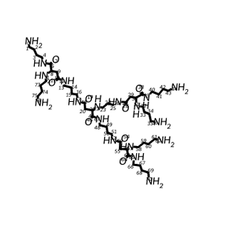 NCCCCNC(=O)C(CC(=O)NCCCCNC(=O)CC(NCCCNC(=O)CC(NCCCCN)C(=O)NCCCCN)C(=O)NCCCCNC(=O)CC(NCCCCN)C(=O)NCCCCN)NCCCCN